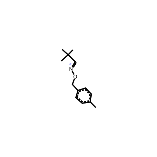 Cc1ccc(CO/N=C/C(C)(C)C)cc1